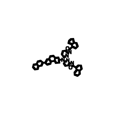 c1ccc2cc(-c3ccc4c(ccc5cc(N(c6ccc7oc(-c8cccc9ccccc89)nc7n6)c6ccc7oc(-c8cccc9ccccc89)nc7n6)ccc54)c3)ccc2c1